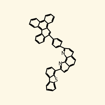 c1ccc2c(c1)sc1c(-c3ccc4ccc5ccc(-c6ccc(-c7cc8c9ccccc9c9ccccc9c8c8ccccc78)cc6)nc5c4n3)cccc12